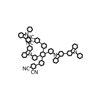 N#Cc1ccc(-c2cccc(-c3cc(-c4cccc(-n5c6ccccc6c6cc(-c7ccc8c(c7)c7ccccc7n8-c7ccccc7)ccc65)c4)c(-c4cccc(-c5ccc(C#N)c(C#N)c5)c4)cc3-c3cccc(-n4c5ccccc5c5cc(-c6ccc7c(c6)c6ccccc6n7-c6ccccc6)ccc54)c3)c2)cc1C#N